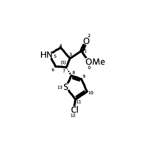 COC(=O)C1CNC[C@H]1c1ccc(Cl)s1